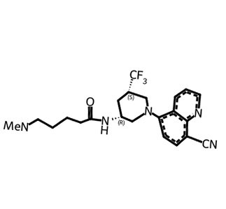 CNCCCCC(=O)N[C@@H]1C[C@H](C(F)(F)F)CN(c2ccc(C#N)c3ncccc23)C1